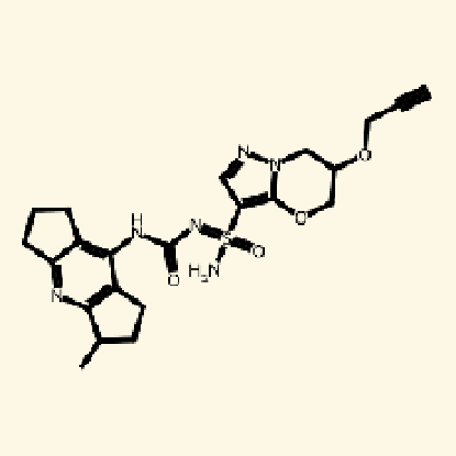 C#CCOC1COc2c(S(N)(=O)=NC(=O)Nc3c4c(nc5c3CCC5C)CCC4)cnn2C1